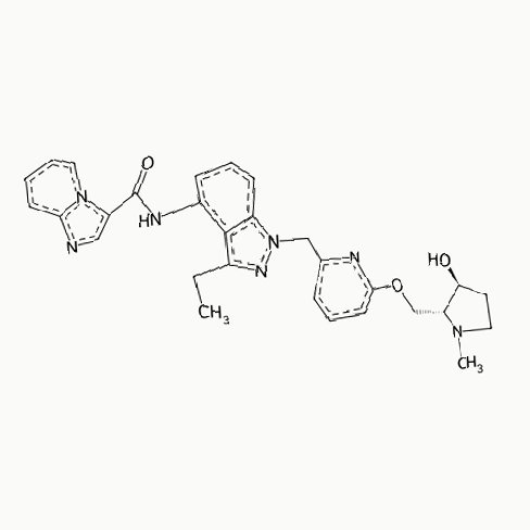 CCc1nn(Cc2cccc(OC[C@@H]3[C@@H](O)CCN3C)n2)c2cccc(NC(=O)c3cnc4ccccn34)c12